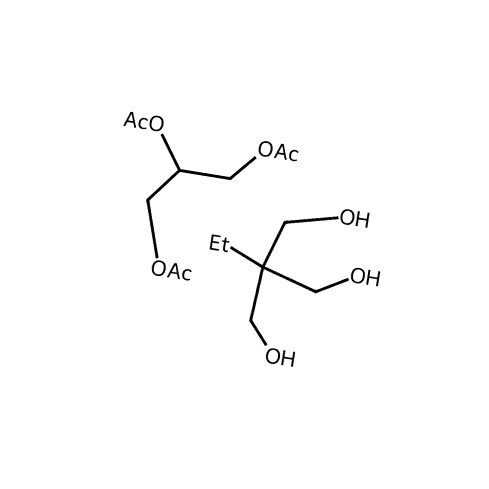 CC(=O)OCC(COC(C)=O)OC(C)=O.CCC(CO)(CO)CO